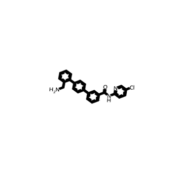 NCc1ccccc1-c1ccc(-c2cc[c]c(C(=O)Nc3ccc(Cl)cn3)c2)cc1